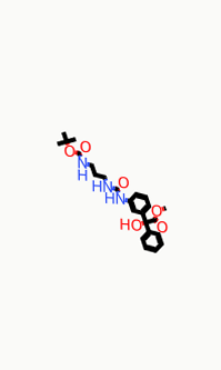 COC(=O)C(O)(c1ccccc1)c1cccc(NC(=O)NCCCNC(=O)OC(C)(C)C)c1